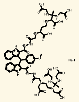 COc1ccc(C(c2c(C(=O)NNC(=O)CNC(CCNC(C(=O)O)C(C)(NCC(=O)O)NCC(=O)O)C(=O)O)[nH]c3ccccc23)c2c(C(=O)NNC(=O)CN(CCN(CC(=O)O)C(C)(NCC(=O)O)NCC(=O)O)CC(=O)O)[nH]c3ccccc23)cc1.[NaH]